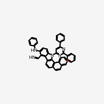 N=Cc1c(Nc2ccccc2)ccc2c1c1ccc3ccc4ccccc4c3c1n2-c1cc(-c2ccccc2)nc(-c2ccccc2)n1